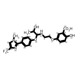 CC(O)C(NCCOc1ccc(O)c(C(=O)O)c1)Oc1ccc(-c2nc(C(F)(F)F)cn2C)cc1